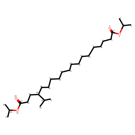 CC(C)OC(=O)CCCCCCCCCCCCCCC(CCC(=O)OC(C)C)C(C)C